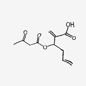 C=CCC(OC(=O)CC(C)=O)C(=C)C(=O)O